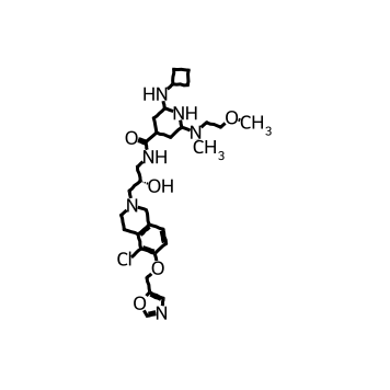 COCCN(C)C1CC(C(=O)NC[C@H](O)CN2CCc3c(ccc(OCc4cnco4)c3Cl)C2)CC(NC2CCC2)N1